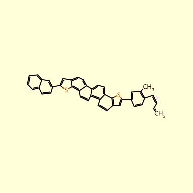 C=C/C=C\c1ccc(-c2cc3ccc4c5ccc6c(ccc7cc(-c8ccc9ccccc9c8)sc76)c5ccc4c3s2)cc1C